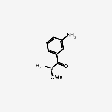 CON(C)C(=O)c1cccc(N)c1